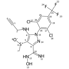 C#CCNc1c([S+](C)[O-])c(C(=N)NO)nn1-c1c(Cl)cc(C(F)(F)F)cc1Cl